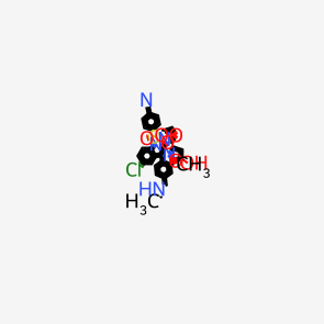 CCNCc1ccc(C2(N3C[C@H](O)C[C@H]3c3ncco3)C(=O)N(S(=O)(=O)c3ccc(C#N)cc3)c3ccc(Cl)cc32)c(OC)c1